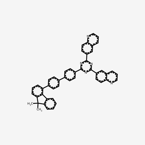 CC1(C)c2ccccc2-c2c(-c3ccc(-c4ccc(-c5nc(-c6ccc7ncccc7c6)nc(-c6ccc7ncccc7c6)n5)cc4)cc3)cccc21